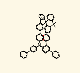 CC1(C)c2ccccc2C2(c3ccccc3-c3ccc(-c4ccc(N(c5ccc(-c6ccccc6)cc5)c5ccc(-c6ccccc6)cc5-c5ccccc5)cc4)cc32)c2ccccc21